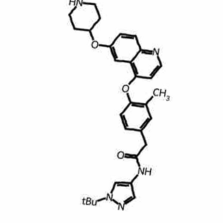 Cc1cc(CC(=O)Nc2cnn(C(C)(C)C)c2)ccc1Oc1ccnc2ccc(OC3CCNCC3)cc12